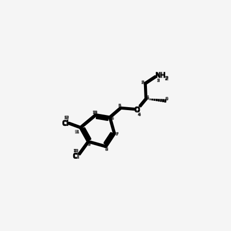 C[C@@H](CN)OCc1ccc(Cl)c(Cl)c1